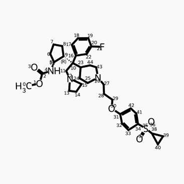 COC(=O)N[C@H]1CCC[C@@H]1C(CN1CCC1)(c1cccc(F)c1)C1CCN(CCCOc2ccc(S(=O)(=O)C3CC3)cc2)CC1